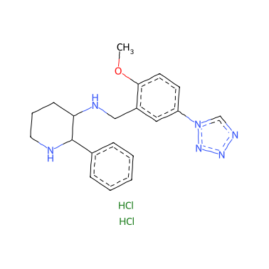 COc1ccc(-n2cnnn2)cc1CNC1CCCNC1c1ccccc1.Cl.Cl